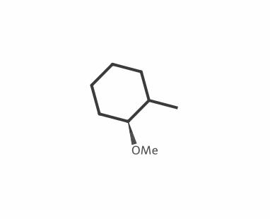 CO[C@H]1CCCCC1C